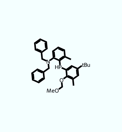 COCOc1c(C)cc(C(C)(C)C)cc1Pc1c(C)cccc1N(Cc1ccccc1)Cc1ccccc1